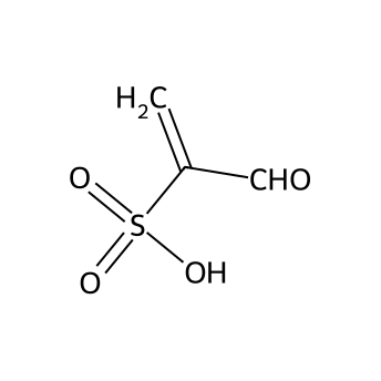 C=C(C=O)S(=O)(=O)O